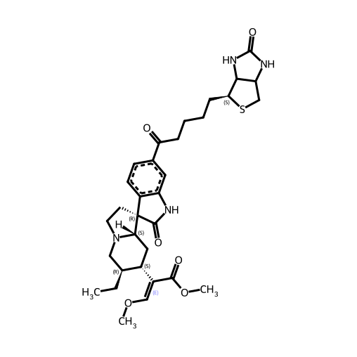 CC[C@H]1CN2CC[C@]3(C(=O)Nc4cc(C(=O)CCCC[C@@H]5SCC6NC(=O)NC65)ccc43)[C@@H]2C[C@@H]1/C(=C\OC)C(=O)OC